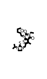 CCn1c(=O)c2c(C)c(CN3CCN(C(C)C)C3=S)sc2n(CC2CCCO2)c1=O